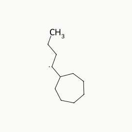 CCC[CH]C1CCCCCC1